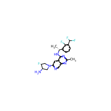 Cc1nc(N[C@H](C)c2cccc(C(F)F)c2F)c2cc(N3C[C@@H](N)[C@H](F)C3)ncc2n1